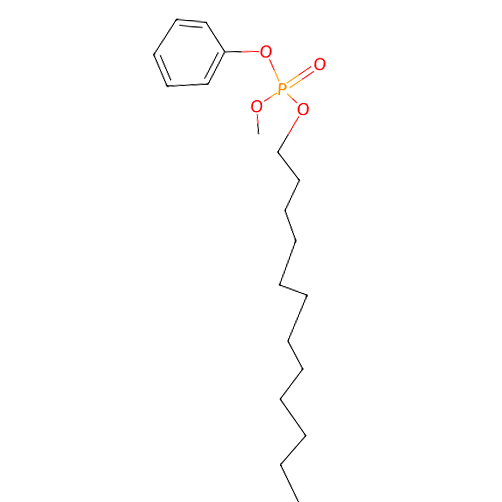 CCCCCCCCCCCCOP(=O)(OC)Oc1ccccc1